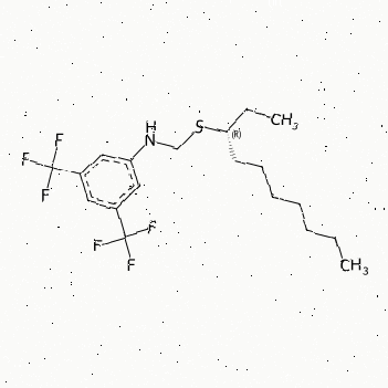 CCCCCCC[C@@H](CC)SCNc1cc(C(F)(F)F)cc(C(F)(F)F)c1